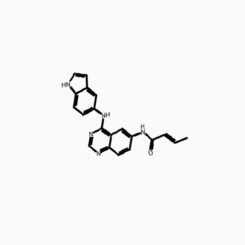 CC=CC(=O)Nc1ccc2ncnc(Nc3ccc4[nH]ccc4c3)c2c1